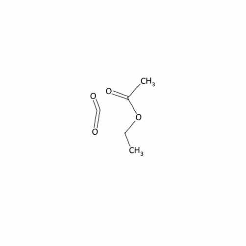 CCOC(C)=O.O=C=O